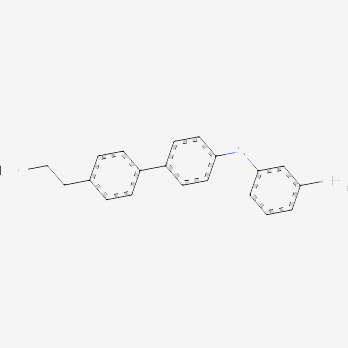 CCCc1ccc(-c2ccc(Nc3cccc(C)c3)cc2)cc1